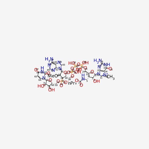 CCCOC(=O)NC[C@H]1[C@@H](O)[C@H](n2c[n+](C)c3c(=O)[nH]c(N)nc32)O[C@@H]1COP(=O)(O)OP(=O)(O)OP(=O)(O)OC[C@H]1O[C@@H](n2cnc3c(N)ncnc32)[C@H](OC)[C@@H]1P(=O)([O-])OC[C@H]1O[C@@H](n2ccc(=O)[nH]c2=O)[C@H](O)[C@@H]1O